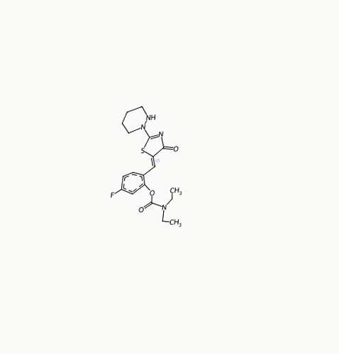 CCN(CC)C(=O)Oc1cc(F)ccc1/C=C1\SC(N2CCCCN2)=NC1=O